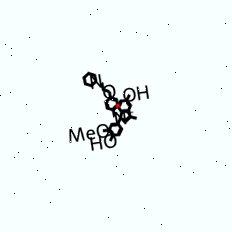 COc1cc([N+]2(Cc3ccc(OCCN4CCCCC4)cc3)C=C(C)c3cc(O)ccc32)ccc1O